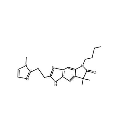 CCCCN1C(=O)C(C)(C)c2cc3[nH]c(CCc4nccn4C)nc3cc21